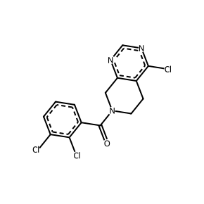 O=C(c1cccc(Cl)c1Cl)N1CCc2c(Cl)ncnc2C1